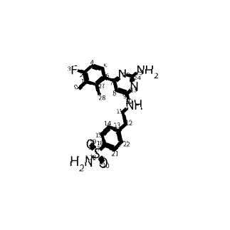 Cc1c(F)ccc(-c2cc(NCCc3ccc(S(N)(=O)=O)cc3)nc(N)n2)c1C